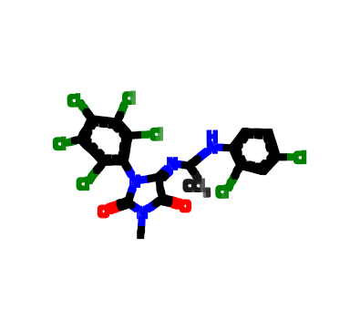 CN1C(=O)C(=NC(Nc2ccc(Cl)cc2Cl)C(Cl)(Cl)Cl)N(c2c(Cl)c(Cl)c(Cl)c(Cl)c2Cl)C1=O